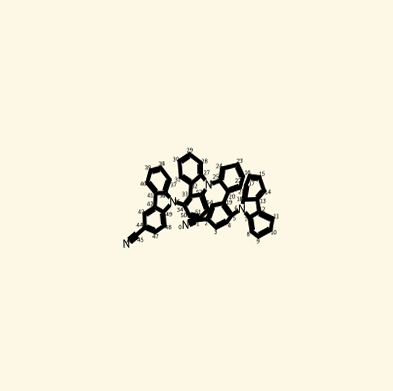 N#Cc1ccc(-n2c3ccccc3c3ccccc32)c(-c2ccccc2-n2c3ccccc3c3c(-n4c5ccccc5c5cc(C#N)ccc54)cccc32)c1